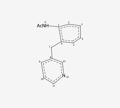 CC(=O)Nc1ccccc1Cc1cccnc1